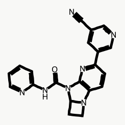 N#Cc1cncc(-c2ccc3c(n2)N(C(=O)Nc2ccccn2)C2CCN32)c1